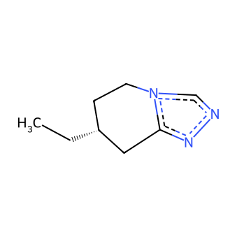 CC[C@@H]1CCn2cnnc2C1